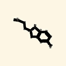 CSCCN1Cc2cc(Br)ccc2S1